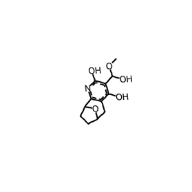 COC(O)c1c(O)nc2c(c1O)CC1CCC2O1